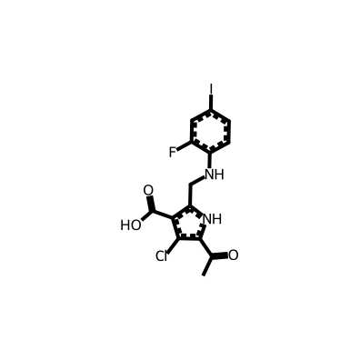 CC(=O)c1[nH]c(CNc2ccc(I)cc2F)c(C(=O)O)c1Cl